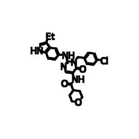 CCc1c[nH]c2ccc(Nc3ncc(NC(=O)C4CCOCC4)c(=O)n3Cc3ccc(Cl)cc3)cc12